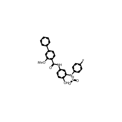 COc1cc(-c2ccccc2)ccc1C(=O)Nc1ccc(O)c(N(c2ccc(F)cc2)[SH](=O)=O)c1